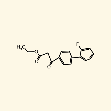 CCOC(=O)CC(=O)c1ccc(-c2ccccc2F)cc1